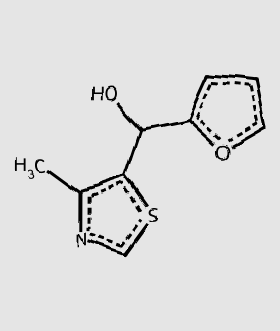 Cc1ncsc1C(O)c1ccco1